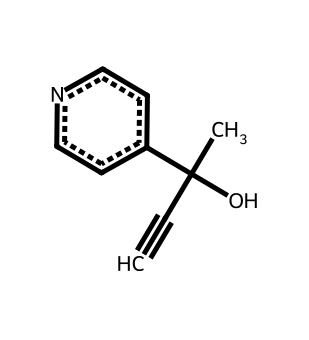 C#CC(C)(O)c1ccncc1